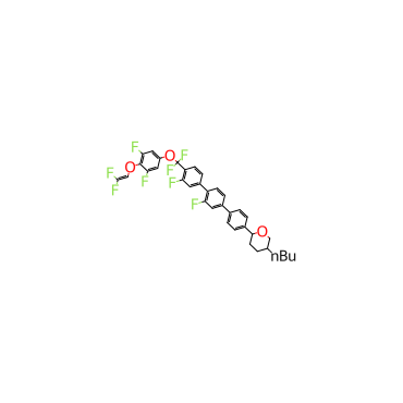 CCCCC1CCC(c2ccc(-c3ccc(-c4ccc(C(F)(F)Oc5cc(F)c(OC=C(F)F)c(F)c5)c(F)c4)c(F)c3)cc2)OC1